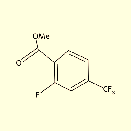 COC(=O)c1ccc(C(F)(F)F)cc1F